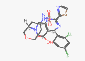 CS(=O)(=O)N[C@@H]1C[C@H]2COC[C@@H](C1)N2CC1=C(C(=O)O)[C@H](c2ccc(F)cc2Cl)N=C(c2nccs2)N1